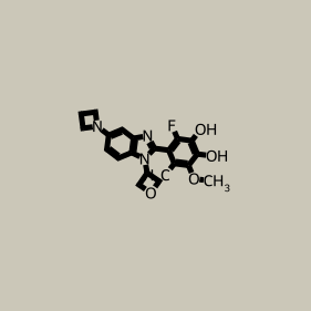 COc1c(C)c(-c2nc3cc(N4CCC4)ccc3n2C2COC2)c(F)c(O)c1O